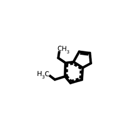 CCc1ccc2c(c1CC)C=CC2